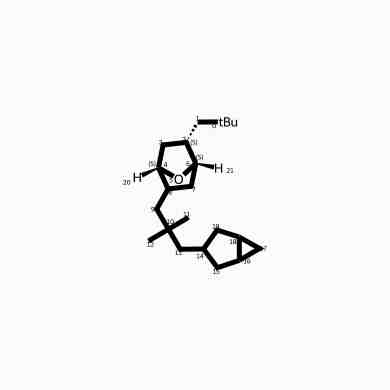 CC(C)(C)C[C@H]1C[C@@H]2O[C@H]1CC2CC(C)(C)CC1CC2CC2C1